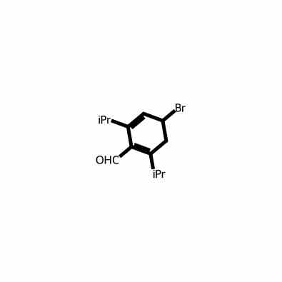 CC(C)C1=CC(Br)CC(C(C)C)=C1C=O